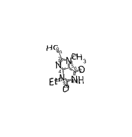 C#Cc1nc2c(c(=O)[nH]c(=O)n2CC)n1C